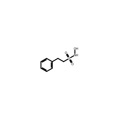 O=S(=O)(CCc1ccccc1)NO